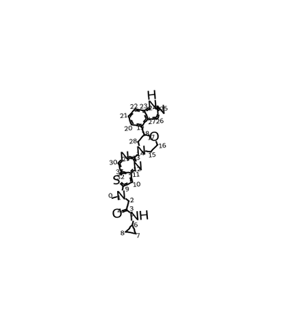 CN(CC(=O)NC1CC1)c1cc2nc(N3CCOC(c4cccc5[nH]ncc45)C3)ncc2s1